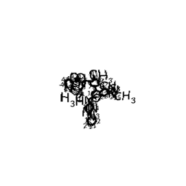 CC[C@@H]1CN(Cc2cc(C(=CC(=O)Nc3cnc(N4CCCCC4)nc3)c3ccc4c(nnn4CC)c3C)ccc2C)S(=O)(=O)c2cccnc2O1